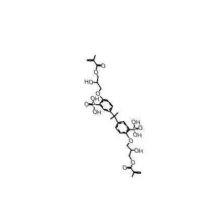 C=C(C)C(=O)OCC(O)COc1ccc(C(C)(C)c2ccc(OCC(O)COC(=O)C(=C)C)c(P(=O)(O)O)c2)cc1P(=O)(O)O